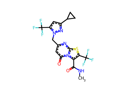 CNC(=O)c1c(C(F)(F)F)sc2nc(Cn3nc(C4CC4)cc3C(F)(F)F)cc(=O)n12